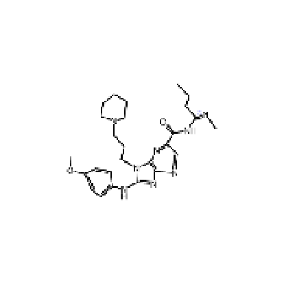 CCC/C(=N/C)NC(=O)c1cnc2nc(Nc3ccc(OC)cc3)n(CCCN3CCCCC3)c2n1